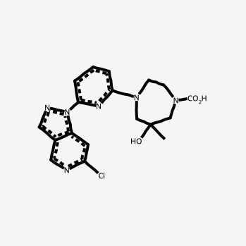 CC1(O)CN(C(=O)O)CCN(c2cccc(-n3ncc4cnc(Cl)cc43)n2)C1